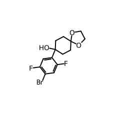 OC1(c2cc(F)c(Br)cc2F)CCC2(CC1)OCCO2